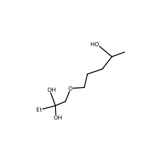 CCC(O)(O)COCCCC(C)O